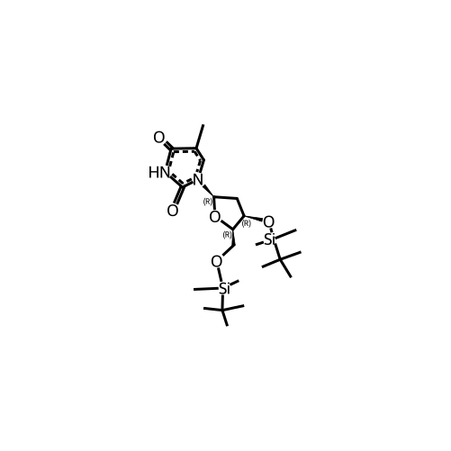 Cc1cn([C@H]2C[C@@H](O[Si](C)(C)C(C)(C)C)[C@@H](CO[Si](C)(C)C(C)(C)C)O2)c(=O)[nH]c1=O